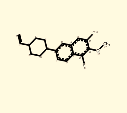 C=CC1CCC(c2ccc3c(F)c(OC(F)(F)F)c(F)cc3c2)CC1